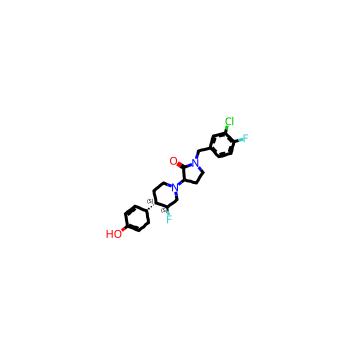 O=C1C(N2CC[C@@H](C3C=CC(O)=CC3)[C@H](F)C2)CCN1Cc1ccc(F)c(Cl)c1